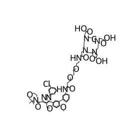 COc1cc2c(cc1-c1cccc(NC(=O)CCOCCOCCNC(=O)CN3CCN(CC(=O)O)CCN(CC(=O)O)CCN(CC(=O)O)CC3)c1)-c1c(c(C(=O)N3CCOCC3(C)C)nn1-c1cccc(Cl)c1)CO2